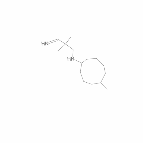 CC1CCCCC(NCC(C)(C)C=N)CCC1